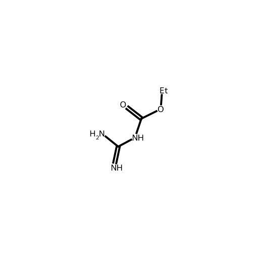 CCOC(=O)NC(=N)N